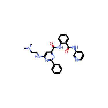 CN(C)CCNc1cc(C(=O)Nc2ccccc2C(=O)Nc2cccnc2)nc(-c2ccccc2)n1